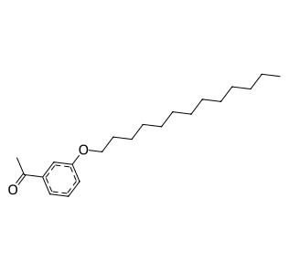 CCCCCCCCCCCCCOc1cccc(C(C)=O)c1